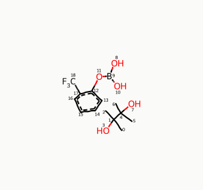 CC(C)(O)C(C)(C)O.OB(O)Oc1ccccc1C(F)(F)F